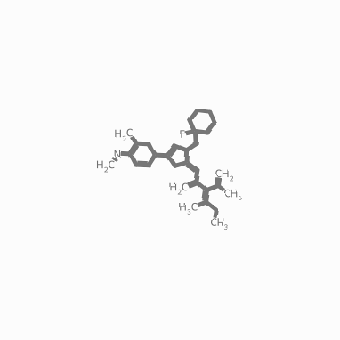 C=NC1=C(C)CC(C2=CC(CC3(F)CCCCC3)/C(=C/C(=C)/C(C(=C)C)=C(\C)CC)C2)C=C1